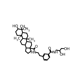 CC1(C)C(O)CCC2(C)C1CCC1(C)C3CCC4(C(=O)NCCc5cccc(C(=O)NCC(O)CO)c5)CCCC4C3CCC12